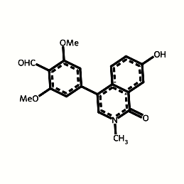 COc1cc(-c2cn(C)c(=O)c3cc(O)ccc23)cc(OC)c1C=O